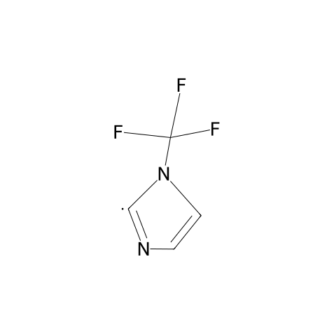 FC(F)(F)n1[c]ncc1